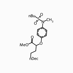 CCCCCCCCCCCCC(Oc1ccc(N(C)S(=O)(=O)CCCC)cc1)C(=O)OC